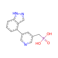 O=P(O)(O)Cc1cncc(-c2cccc3[nH]ncc23)c1